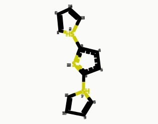 C1=C[SH](c2ccc([SH]3C=CC=C3)s2)C=C1